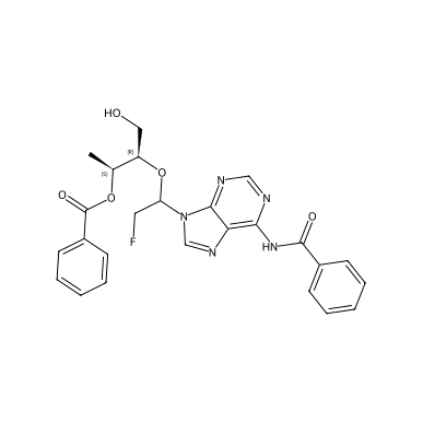 C[C@H](OC(=O)c1ccccc1)[C@@H](CO)OC(CF)n1cnc2c(NC(=O)c3ccccc3)ncnc21